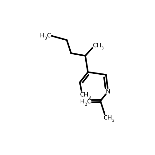 C=C(C)/N=C\C(=C/C)C(C)CCC